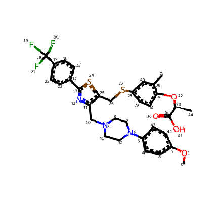 COc1ccc(N2CCN(Cc3nc(-c4ccc(C(F)(F)F)cc4)sc3CSc3ccc(O[C@@H](C)C(=O)O)c(C)c3)CC2)cc1